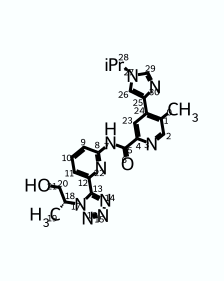 Cc1cnc(C(=O)Nc2cccc(-c3nnnn3[C@H](C)CO)n2)cc1-c1cn(C(C)C)cn1